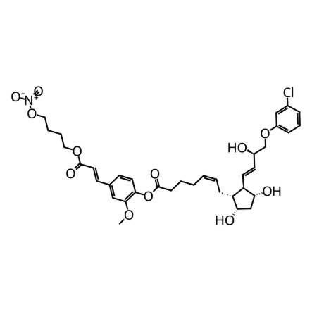 COc1cc(/C=C/C(=O)OCCCCO[N+](=O)[O-])ccc1OC(=O)CCC/C=C\C[C@@H]1[C@@H](/C=C/[C@@H](O)COc2cccc(Cl)c2)[C@H](O)C[C@@H]1O